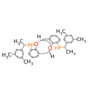 Cc1cc(C)cc(C(C)Pc2cccc3c2O[C@@H]2CCC[C@H](C3)Oc3c(cccc3PC(C)c3cc(C)cc(C)c3)C2)c1